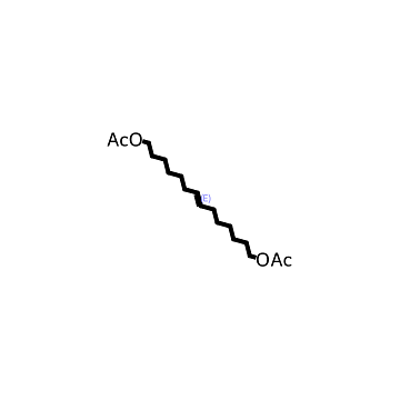 CC(=O)OCCCCCC/C=C/CCCCCCOC(C)=O